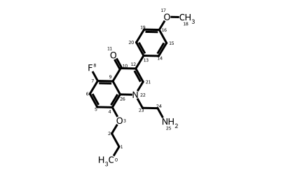 CCCOc1ccc(F)c2c(=O)c(-c3ccc(OC)cc3)cn(CCN)c12